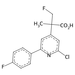 CC(CF)(C(=O)O)c1cc(Cl)nc(-c2ccc(F)cc2)c1